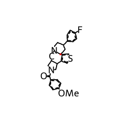 COc1ccc(C(=O)N2CC(CN3CCC(c4ccc(F)cc4)CC3)C(c3ccsc3)C2)cc1